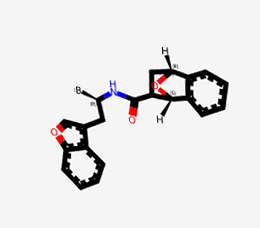 [B][C@H](Cc1coc2ccccc12)NC(=O)C1C[C@H]2O[C@@H]1c1ccccc12